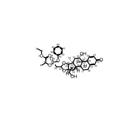 CCOC(=O)C(C)OP(=O)(CC1O[C@@H]2C[C@H]3[C@@H]4CCC5=CC(=O)C=C[C@]5(C)[C@@]4(F)[C@@H](O)C[C@]3(C)[C@]2(C(=O)CO)O1)Oc1ccccc1